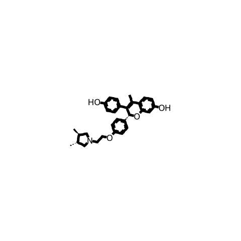 CC1=C(c2ccc(O)cc2)[C@@H](c2ccc(OCCN3C[C@H](C)[C@@H](C)C3)cc2)Oc2cc(O)ccc21